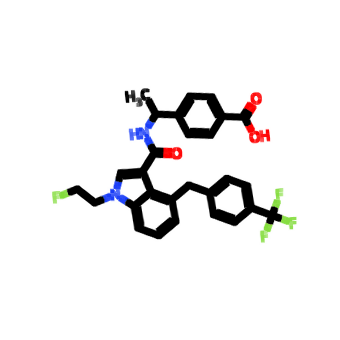 CC(NC(=O)c1cn(CCF)c2cccc(Cc3ccc(C(F)(F)F)cc3)c12)c1ccc(C(=O)O)cc1